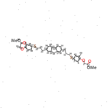 COC(=O)COc1ccc(SCCCc2ccc3c(c2)Cc2cc(CCCSc4ccc(OC(C)C(=O)OC)cc4)ccc2-3)cc1C